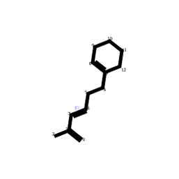 C=C(C)/C=C/CCC1=CCCCC1